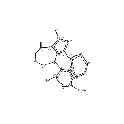 COc1ccc(C2SCCNc3c2c(-c2ccccn2)nn3C)c(C)c1